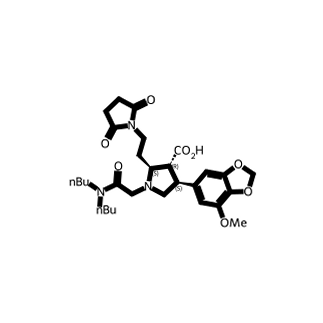 CCCCN(CCCC)C(=O)CN1C[C@H](c2cc(OC)c3c(c2)OCO3)[C@@H](C(=O)O)[C@@H]1CCN1C(=O)CCC1=O